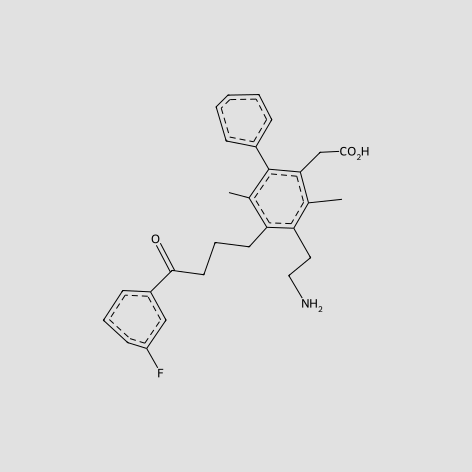 Cc1c(CCN)c(CCCC(=O)c2cccc(F)c2)c(C)c(-c2ccccc2)c1CC(=O)O